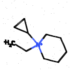 [CH2]C[N+]1(C2CC2)CCCCC1